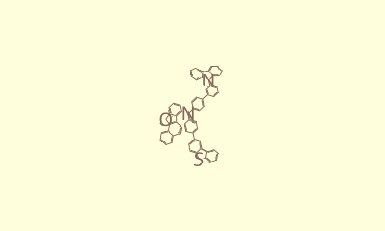 c1cc(-c2ccc(N(c3ccc(-c4ccc5sc6ccccc6c5c4)cc3)c3cccc4oc5c6ccccc6ccc5c34)cc2)cc(-n2c3ccccc3c3ccccc32)c1